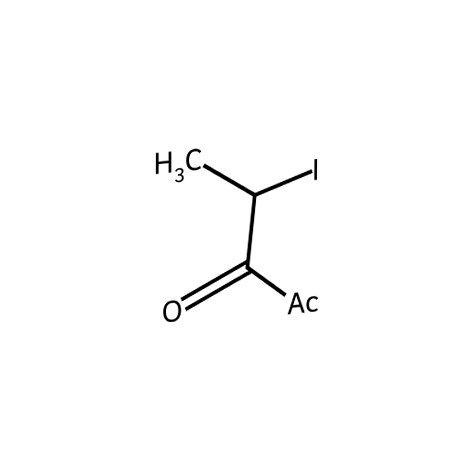 CC(=O)C(=O)C(C)I